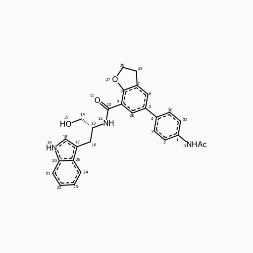 CC(=O)Nc1ccc(-c2cc3c(c(C(=O)N[C@@H](CO)Cc4c[nH]c5ccccc45)c2)OCC3)cc1